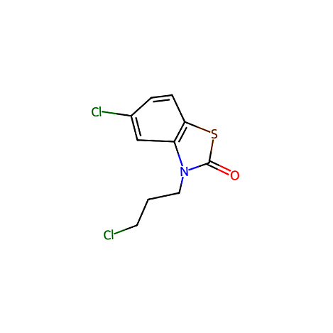 O=c1sc2ccc(Cl)cc2n1CCCCl